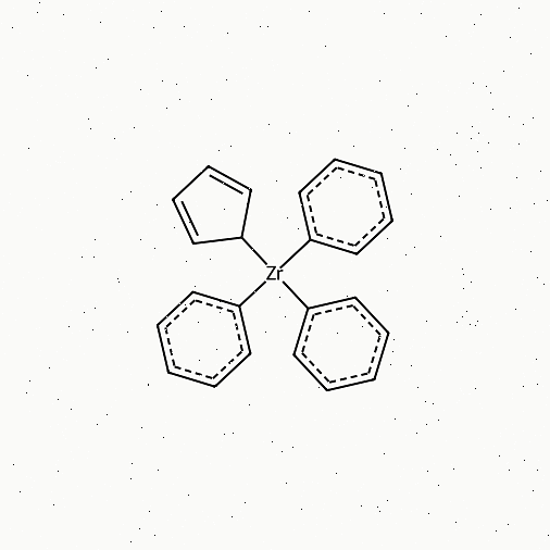 C1=C[CH]([Zr]([c]2ccccc2)([c]2ccccc2)[c]2ccccc2)C=C1